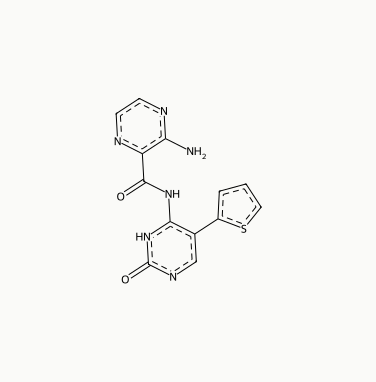 Nc1nccnc1C(=O)Nc1[nH]c(=O)ncc1-c1cccs1